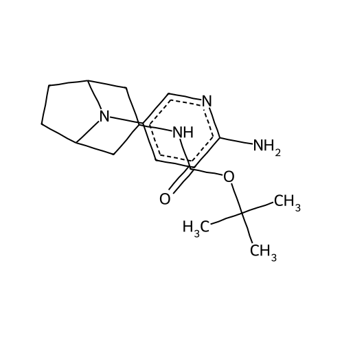 CC(C)(C)OC(=O)NC1CC2CCC(C1)N2c1ccc(N)nc1